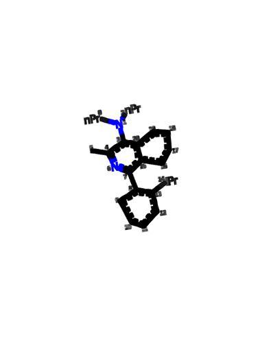 CCCN(CCC)c1c(C)nc(-c2ccccc2C(C)C)c2ccccc12